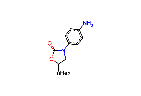 CCCCCCC1CN(c2ccc(N)cc2)C(=O)O1